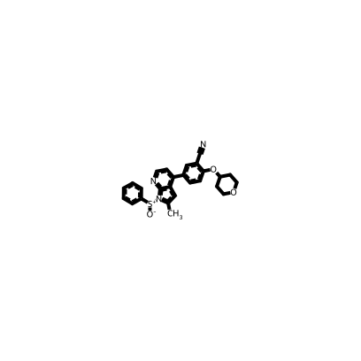 Cc1cc2c(-c3ccc(OC4CCOCC4)c(C#N)c3)ccnc2n1[S+]([O-])c1ccccc1